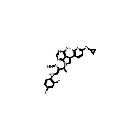 CC(/C(=C/Nc1ccc(F)cc1F)N=N)n1cc(-c2ccc(OC3CC3)nc2)c2c(N)ncnc21